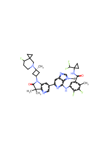 Cc1c(C(=O)NC2(C(F)F)CC2)cc(Nc2nc(-c3cnc4c(c3)N([C@H]3C[C@@](C)(N5CCC(F)C6(CC6)C5)C3)C(=O)C4(C)C)cc3ncn(C(C)C)c23)c(F)c1F